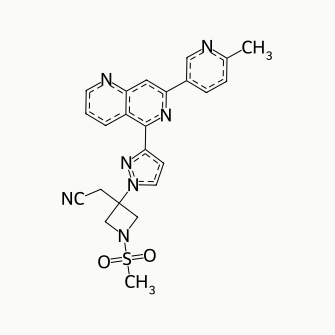 Cc1ccc(-c2cc3ncccc3c(-c3ccn(C4(CC#N)CN(S(C)(=O)=O)C4)n3)n2)cn1